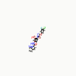 CC1NC(C(=O)NC23CCC(NC(=O)COc4ccc(Cl)c(F)c4)(CC2)C(O)C3)CCC1C#N